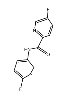 O=C(NC1=CC=C(F)[CH]C1)c1ccc(F)cn1